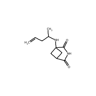 C=CCC(C)NC12CC(C1)C(=O)NC2=O